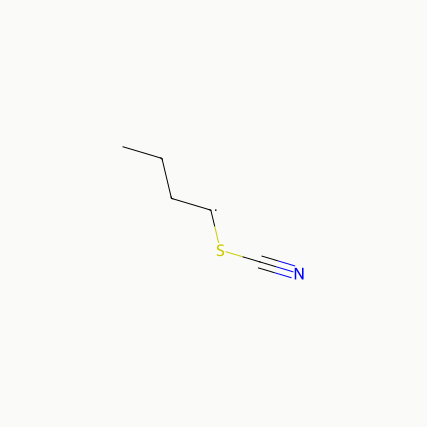 CCC[CH]SC#N